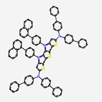 c1ccc(-c2ccc(N(c3ccc(-c4ccccc4)cc3)c3cc4c(s3)c3sc5c6sc(N(c7ccc(-c8ccccc8)cc7)c7ccc(-c8ccccc8)cc7)cc6n(-c6ccc(-c7cccc8ccccc78)cc6)c5c3n4-c3ccc(-c4cccc5ccccc45)cc3)cc2)cc1